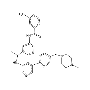 CC(Nc1cncc(-c2ccc(CN3CCN(C)CC3)cc2)n1)c1cccc(NC(=O)c2cccc(C(F)(F)F)c2)c1